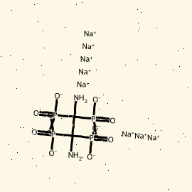 NC(C(N)(P(=O)([O-])[O-])P(=O)([O-])[O-])(P(=O)([O-])[O-])P(=O)([O-])[O-].[Na+].[Na+].[Na+].[Na+].[Na+].[Na+].[Na+].[Na+]